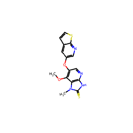 COc1c(Oc2cnc3sccc3c2)cnc2[nH]c(=S)n(C)c12